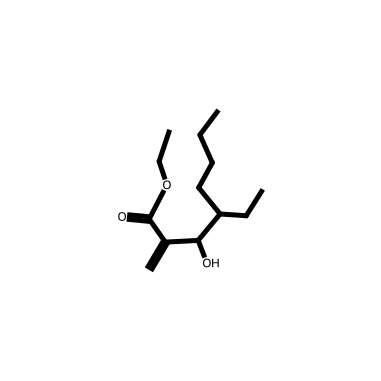 C=C(C(=O)OCC)C(O)C(CC)CCCC